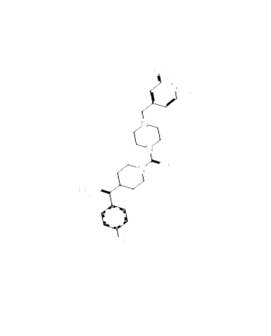 C=C/C=C(\C=C/N)CN1CCN(C(=O)N2CCC(C(=C)c3ccc(Cl)cc3)CC2)CC1